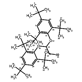 CC(C)(C)c1cc(C(C)(C)C)c(OC([CH2][Al])Oc2c(C(C)(C)C)cc(C(C)(C)C)cc2C(C)(C)C)c(C(C)(C)C)c1